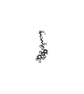 NCCCOCCCNC(=O)COc1cccc2c1C(=O)N(C1CCC(=O)NC1=O)C2=O